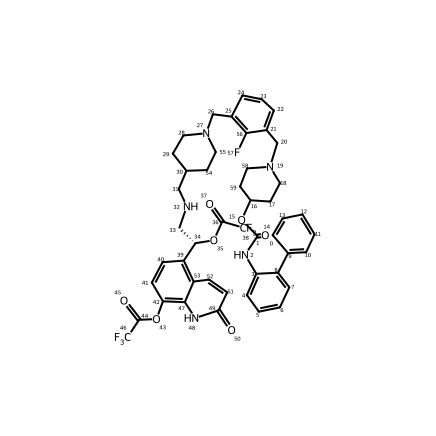 O=C(Nc1ccccc1-c1ccccc1)OC1CCN(Cc2cccc(CN3CCC(CNC[C@H](OC(=O)C(F)(F)F)c4ccc(OC(=O)C(F)(F)F)c5[nH]c(=O)ccc45)CC3)c2F)CC1